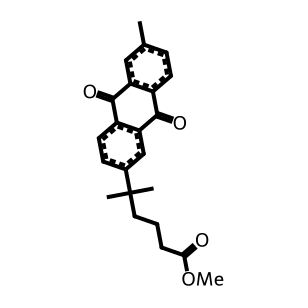 COC(=O)CCCC(C)(C)c1ccc2c(c1)C(=O)c1ccc(C)cc1C2=O